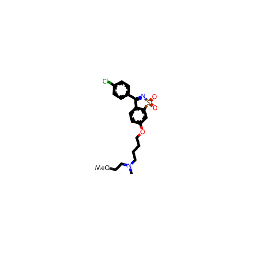 COCCN(C)CCCCOc1ccc2c(c1)S(=O)(=O)N=C2c1ccc(Cl)cc1